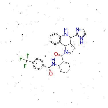 O=C(NC1CCCCC1C(=O)N1CCC2C(c3ncc[nH]3)Nc3ccccc3C21)c1ccc(C(F)(F)F)cc1